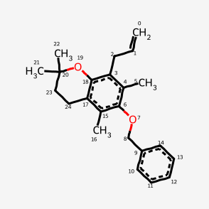 C=CCc1c(C)c(OCc2ccccc2)c(C)c2c1OC(C)(C)CC2